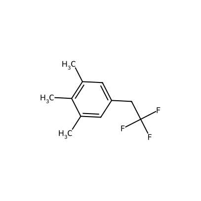 Cc1cc(CC(F)(F)F)cc(C)c1C